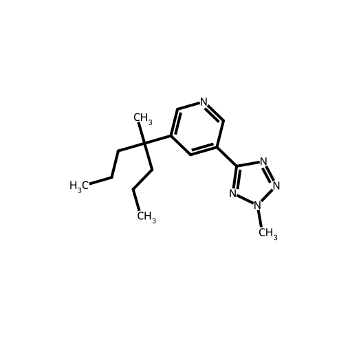 CCCC(C)(CCC)c1cncc(-c2nnn(C)n2)c1